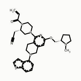 C=CC(=O)N1CCN(c2nc(OC[C@@H]3CCCN3C)cc3c2CCN(c2cccc4sccc24)C3)C[C@@H]1CC#N